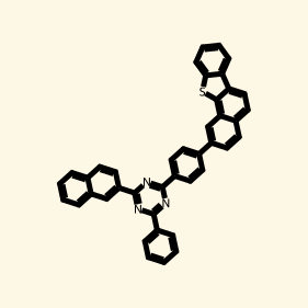 c1ccc(-c2nc(-c3ccc(-c4ccc5ccc6c7ccccc7sc6c5c4)cc3)nc(-c3ccc4ccccc4c3)n2)cc1